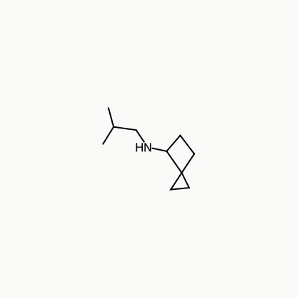 CC(C)CNC1CCC12CC2